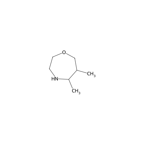 CC1COCCNC1C